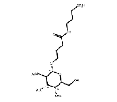 CC(=O)NC1[C@H](OCCCC(=O)NCCCC(=O)O)OC(COC(C)=O)[C@H](OC(C)=O)[C@@H]1OC(C)=O